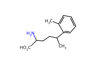 Cc1ccccc1C(C)CCC(N)C(=O)O